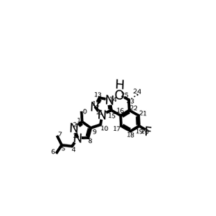 Cc1nn(CC(C)C)cc1Cn1ncnc1-c1ccc(F)cc1[C@@H](C)O